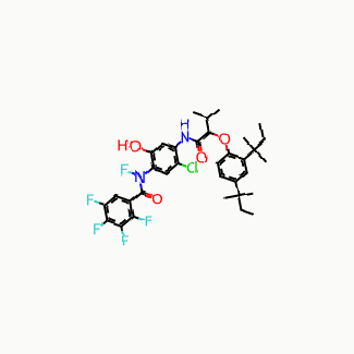 CCC(C)(C)c1ccc(OC(C(=O)Nc2cc(O)c(N(F)C(=O)c3cc(F)c(F)c(F)c3F)cc2Cl)C(C)C)c(C(C)(C)CC)c1